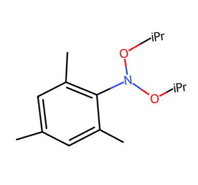 Cc1cc(C)c(N(OC(C)C)OC(C)C)c(C)c1